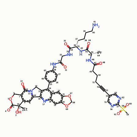 CC[C@@]1(O)C(=O)OCc2c1cc1n(c2=O)Cc2c-1nc1cc3c(cc1c2-c1ccc(NC(=O)CNC(=O)[C@H](CCCCN)NC(=O)[C@@H](NC(=O)CCCC#Cc2cnc(S(C)(=O)=O)nc2)C(C)C)cc1)OCO3